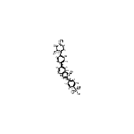 CC(C)N1CCN(c2ccc(-c3cnc4cc(-c5ccc(S(C)(=O)=O)cc5)n(C)c4c3)cc2)[C@@H](C)C1